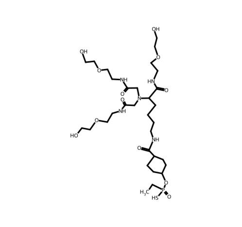 CCP(=O)(S)OC1CCC(C(=O)NCCCCC(C(=O)NCCOCCO)N(CC(=O)NCCOCCO)CC(=O)NCCOCCO)CC1